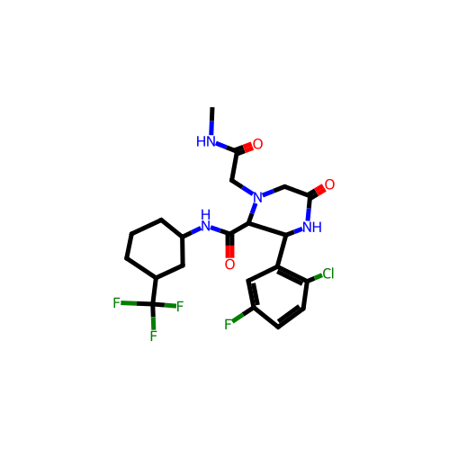 CNC(=O)CN1CC(=O)NC(c2cc(F)ccc2Cl)C1C(=O)NC1CCCC(C(F)(F)F)C1